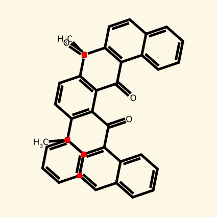 COc1ccc2ccccc2c1C(=O)c1c(P=O)ccc(-c2ccccc2)c1C(=O)c1c(OC)ccc2ccccc12